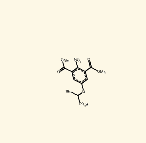 COC(=O)c1cc(OC(C(=O)O)C(C)(C)C)cc(C(=O)OC)c1[N+](=O)[O-]